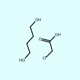 O=C(O)CCl.OCCCCO